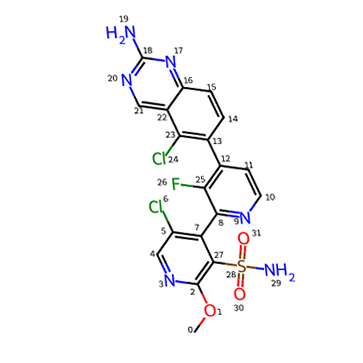 COc1ncc(Cl)c(-c2nccc(-c3ccc4nc(N)ncc4c3Cl)c2F)c1S(N)(=O)=O